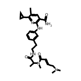 Cc1cc(C(N)=O)c(Nc2cccc(CCNC(=O)C(C)N(C)C(=O)/C=C/CN(C)C)c2)nc1C1CC1